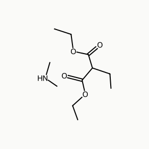 CCOC(=O)C(CC)C(=O)OCC.CNC